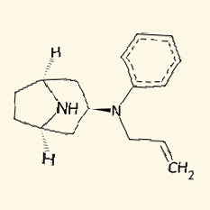 C=CCN(c1ccccc1)[C@H]1C[C@H]2CC[C@@H](C1)N2